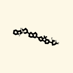 CC1(C)c2cc(-c3ccc4cc(-c5ccc6nc7c8ccccc8sc7n6c5)ccc4c3)ccc2-c2ccc(-c3ccc(F)nc3F)cc21